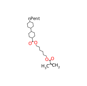 C=C(C)C(=O)OCCCCCCOC(=O)C1CCC(C2CCC(CCCCC)CC2)CC1